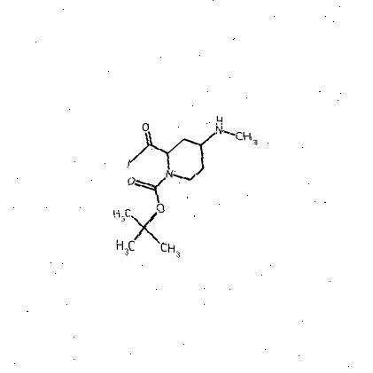 CNC1CCN(C(=O)OC(C)(C)C)C(C(=O)I)C1